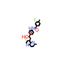 Cc1ccc2ncc(F)c(CC(O)C34CCC(NC(=O)c5ccc(C)c(F)c5)(CC3)CO4)c2n1